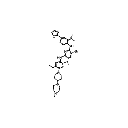 CCc1cc(Nc2ncc(Br)c(Nc3ccc(-c4ncco4)cc3P(C)C)n2)c(OC)cc1N1CCC(N2CCN(C)CC2)CC1